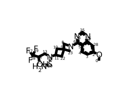 COc1ccc2c(N3CC4(CC(N(CC(O)C(F)(F)F)SN)C4)C3)ncnc2c1